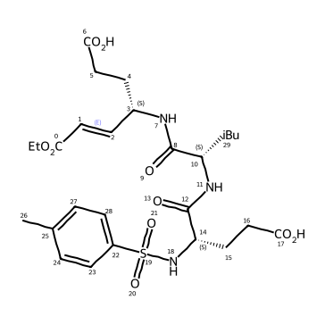 CCOC(=O)/C=C/[C@H](CCC(=O)O)NC(=O)[C@@H](NC(=O)[C@H](CCC(=O)O)NS(=O)(=O)c1ccc(C)cc1)C(C)CC